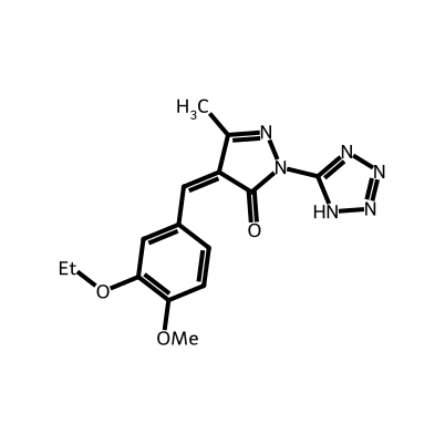 CCOc1cc(/C=C2\C(=O)N(c3nnn[nH]3)N=C2C)ccc1OC